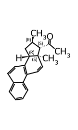 CC(=O)[C@H]1[C@H](C)C[C@H]2c3ccc4ccccc4c3C=C[C@@]21C